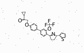 O=C(COc1ccc(-c2ccc(C3=NC(c4cccs4)CC3)c(OC(F)(F)F)c2)cc1)C1CC1